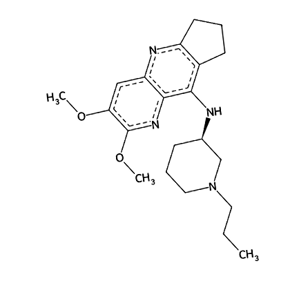 CCCN1CCC[C@@H](Nc2c3c(nc4cc(OC)c(OC)nc24)CCC3)C1